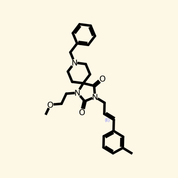 COCCN1C(=O)N(C/C=C/c2cccc(C)c2)C(=O)C12CCN(Cc1ccccc1)CC2